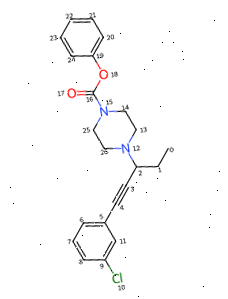 CCC(C#Cc1cccc(Cl)c1)N1CCN(C(=O)Oc2ccccc2)CC1